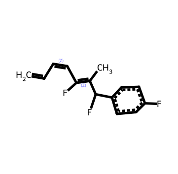 C=C/C=C\C(F)=C(/C)C(F)c1ccc(F)cc1